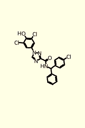 O=C(NC(c1ccccc1)c1ccc(Cl)cc1)c1ncn(-c2cc(Cl)c(O)c(Cl)c2)n1